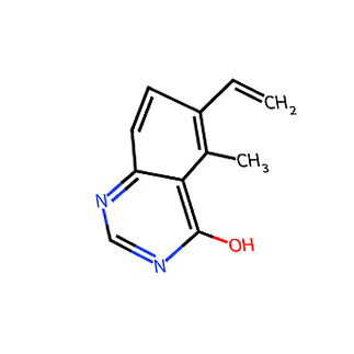 C=Cc1ccc2ncnc(O)c2c1C